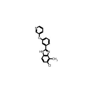 Cc1c(Cl)ccc2[nH]c(-c3[c]ccc(Oc4cccnc4)c3)nc12